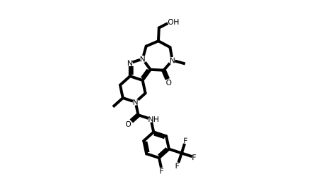 CC1Cc2nn3c(c2CN1C(=O)Nc1ccc(F)c(C(F)(F)F)c1)C(=O)N(C)CC(CO)C3